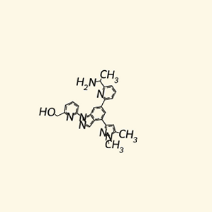 Cc1cc(-c2cc(-c3cccc(C(C)N)n3)cc3c2cnn3-c2cccc(CO)n2)nn1C